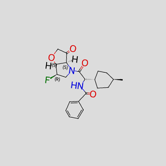 C[C@H]1CC[C@H](C(NC(=O)c2ccccc2)C(=O)N2C[C@@H](F)[C@H]3OCC(=O)[C@H]32)CC1